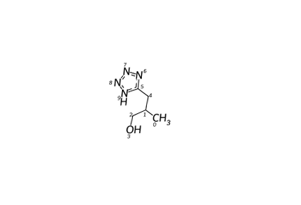 CC(CO)Cc1nnn[nH]1